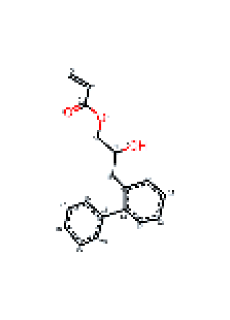 C=CC(=O)OCC(O)Cc1ccccc1-c1ccccc1